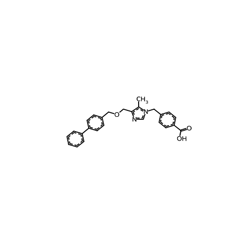 Cc1c(COCc2ccc(-c3ccccc3)cc2)ncn1Cc1ccc(C(=O)O)cc1